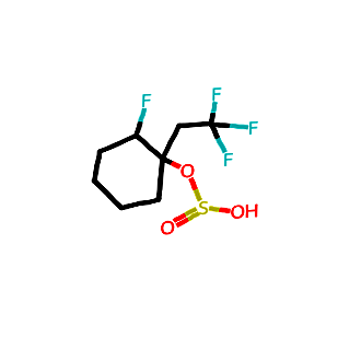 O=S(O)OC1(CC(F)(F)F)CCCCC1F